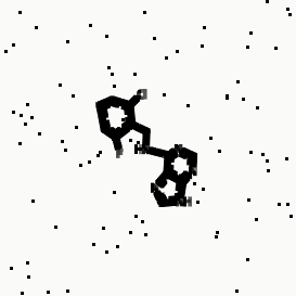 Fc1cccc(Cl)c1CNc1ncnc2[nH]cnc12